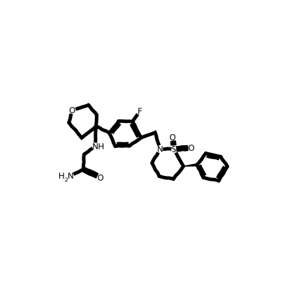 NC(=O)CNC1(c2ccc(CN3CCC[C@H](c4ccccc4)S3(=O)=O)c(F)c2)CCOCC1